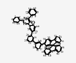 c1ccc(-c2nc(-c3ccccc3)c3oc4ccc(-c5cccc(-c6cccc(-c7ccc8c(c7)C7(c9ccccc9-c9ccccc97)c7ccccc7-8)c6)c5)cc4c3n2)cc1